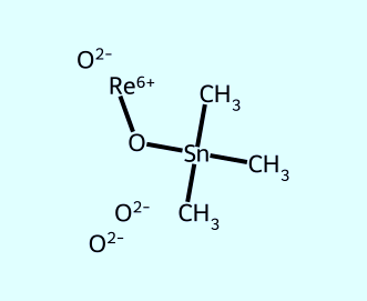 [CH3][Sn]([CH3])([CH3])[O][Re+6].[O-2].[O-2].[O-2]